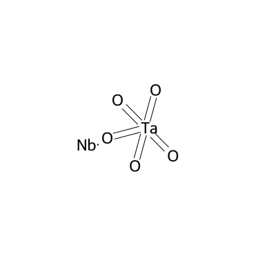 [Nb].[O]=[Ta](=[O])(=[O])(=[O])=[O]